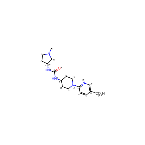 CN1CC[C@@H](NC(=O)NC2CCN(c3ccc(C(=O)O)cn3)CC2)C1